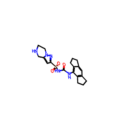 O=C(Nc1c2c(cc3c1CCC3)CCC2)NS(=O)(=O)c1cc2n(n1)CCNC2